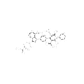 CC(C)C(=O)N1CCC(c2cc(-c3ccc(-c4c(C(N)=O)c(=O)n(-c5ccccc5)c(=O)n4C4CC4)cc3)c3c(N)ncnn23)CC1